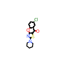 O=c1c2cc(Cl)ccc2oc2nc(N3CCCCC3)sc12